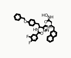 O=C(C[C@@H](Cc1ccc2ccccc2c1)n1cc(C(Cc2ccc(OCc3ccccc3)cc2)NC(=O)c2ccc(F)c(F)c2)nn1)NO